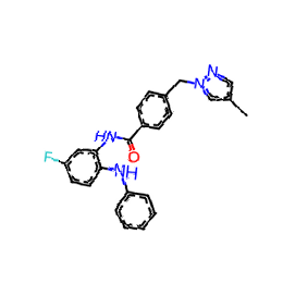 Cc1cnn(Cc2ccc(C(=O)Nc3cc(F)ccc3Nc3ccccc3)cc2)c1